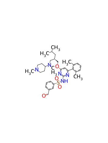 Cc1cccc(C)c1-c1cc(OC[C@H](CC(C)C)CN(C)C2CCN(C)CC2)nc(NS(=O)(=O)c2cccc(C=O)c2)n1